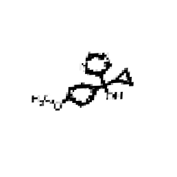 COc1ccc(C(O)(c2cncnc2)C2CC2)cc1